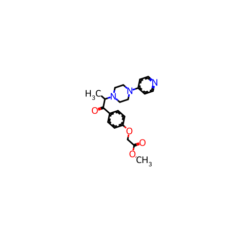 COC(=O)COc1ccc(C(=O)C(C)N2CCN(c3ccncc3)CC2)cc1